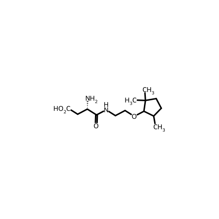 CC1CCC(C)(C)C1OCCNC(=O)[C@@H](N)CC(=O)O